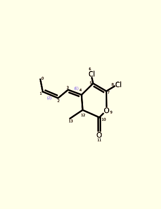 C/C=C\C=C1\C(Cl)=C(Cl)OC(=O)C1C